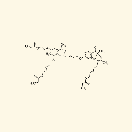 C=CC(=O)OCCOCCOC(C)OCC(CSCCOc1ccc(C(=O)C(C)(C)OC(C)OCCOCCOC(=O)C=C)cc1)OC(C)OCCOCCOC(=O)C=C